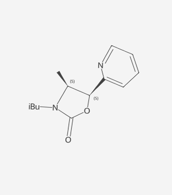 CCC(C)N1C(=O)O[C@H](c2ccccn2)[C@@H]1C